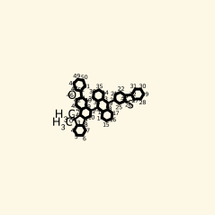 CC1(C)c2ccccc2-c2cc(-c3c4ccccc4c(-c4ccc5c(c4)sc4ccccc45)c4ccccc34)c3cc4c(cc3c21)oc1ccccc14